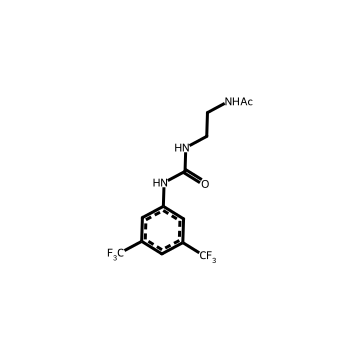 CC(=O)NCCNC(=O)Nc1cc(C(F)(F)F)cc(C(F)(F)F)c1